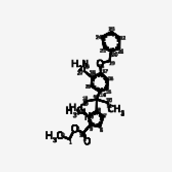 CCOC(=O)c1ccc(C(CC)(CC)c2ccc(OCc3ccccc3)c(CN)c2)n1C